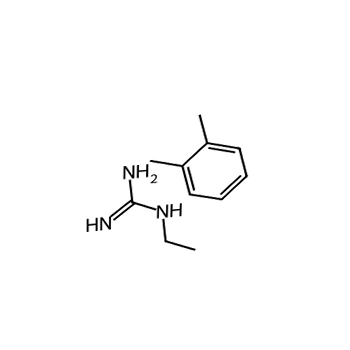 CCNC(=N)N.Cc1ccccc1C